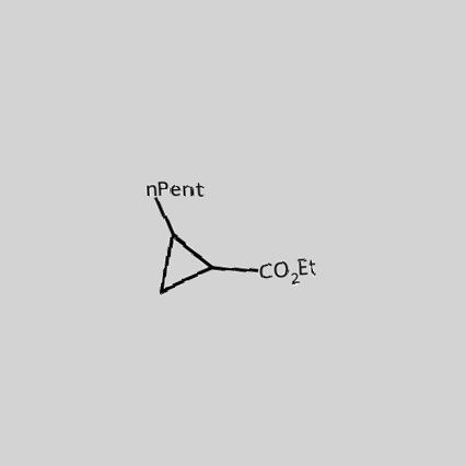 CCCCCC1CC1C(=O)OCC